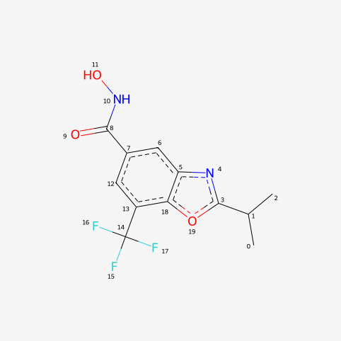 CC(C)c1nc2cc(C(=O)NO)cc(C(F)(F)F)c2o1